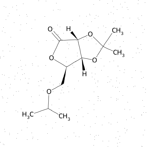 CC(C)OC[C@H]1OC(=O)[C@@H]2OC(C)(C)O[C@H]12